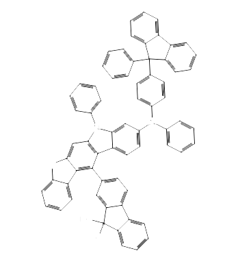 CC1(C)c2ccccc2-c2ccc(-c3c4c(cc5c3c3ccc(N(c6ccccc6)c6ccc(C7(c8ccccc8)c8ccccc8-c8ccccc87)cc6)cc3n5-c3ccccc3)oc3ccccc34)cc21